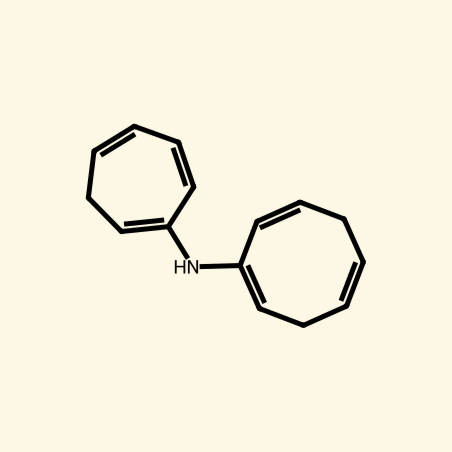 C1=CCC=C(NC2=CC/C=C\C/C=C\2)C=C1